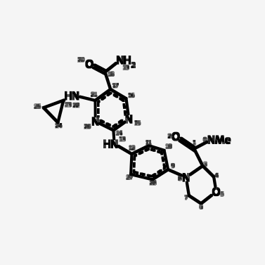 CNC(=O)C1COCCN1c1ccc(Nc2ncc(C(N)=O)c(NC3CC3)n2)cc1